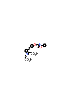 Cc1oc(-c2ccccc2)nc1CCOc1ccc(CCc2cccc3c2c(CC(=O)O)cn3CCCC(=O)O)cc1